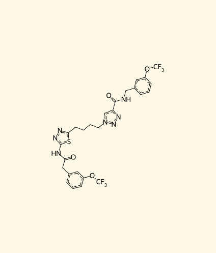 O=C(Cc1cccc(OC(F)(F)F)c1)Nc1nnc(CCCCn2cc(C(=O)NCc3cccc(OC(F)(F)F)c3)nn2)s1